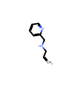 C=CCNCc1ccccn1